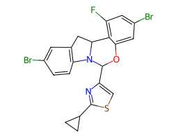 Fc1cc(Br)cc2c1C1Cc3cc(Br)ccc3N1C(c1csc(C3CC3)n1)O2